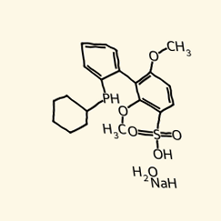 COc1ccc(S(=O)(=O)O)c(OC)c1-c1ccccc1PC1CCCCC1.O.[NaH]